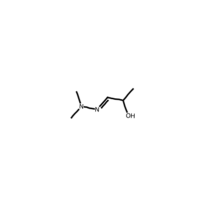 CC(O)C=NN(C)C